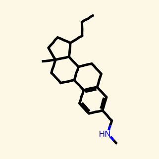 CCCC1CCC2(C)CCC3c4ccc(CNC)cc4CCC3C12